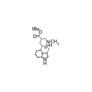 CN1CC(C(=O)OC(C)(C)C)CC2c3cccc4[nH]cc(c34)C[C@H]21